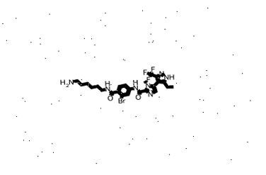 CCc1[nH]nc(C(F)(F)F)c1-c1cnc(C(=O)Nc2ccc(C(=O)NCCCCCCN)c(Br)c2)n1C